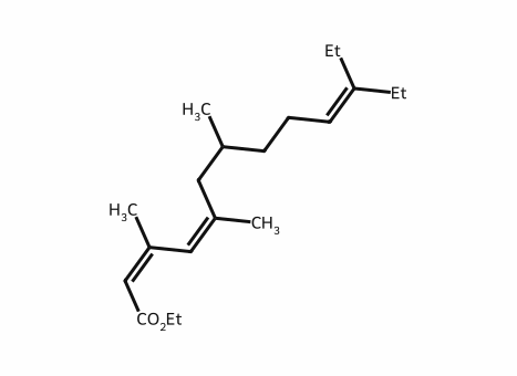 CCOC(=O)C=C(C)C=C(C)CC(C)CCC=C(CC)CC